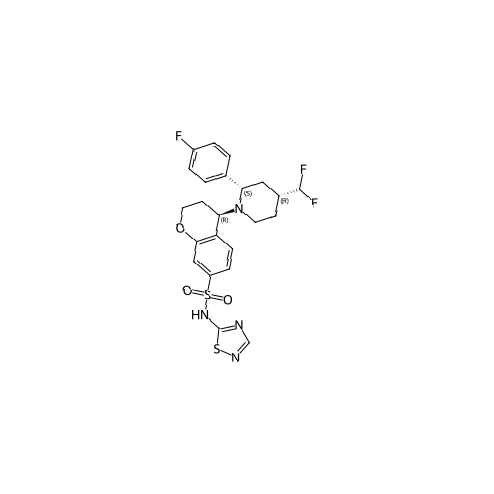 O=S(=O)(Nc1ncns1)c1ccc2c(c1)OCC[C@H]2N1CC[C@@H](C(F)F)C[C@H]1c1ccc(F)cc1